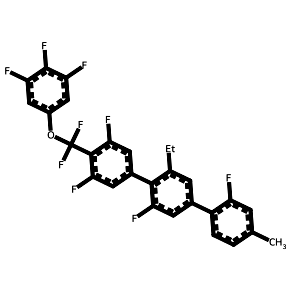 CCc1cc(-c2ccc(C)cc2F)cc(F)c1-c1cc(F)c(C(F)(F)Oc2cc(F)c(F)c(F)c2)c(F)c1